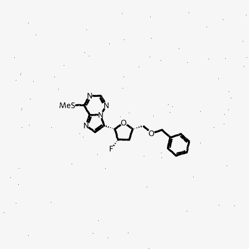 CSc1ncnn2c([C@@H]3O[C@H](COCc4ccccc4)C[C@@H]3F)cnc12